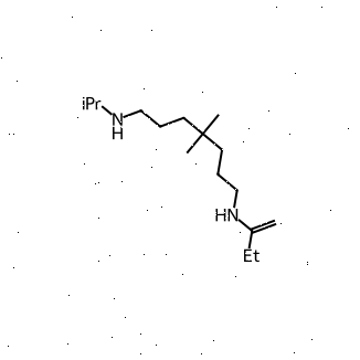 C=C(CC)NCCCC(C)(C)CCCNC(C)C